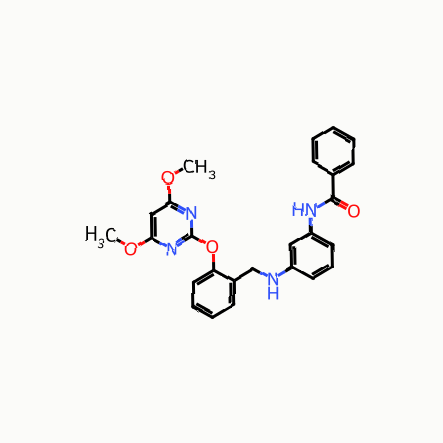 COc1cc(OC)nc(Oc2ccccc2CNc2cccc(NC(=O)c3ccccc3)c2)n1